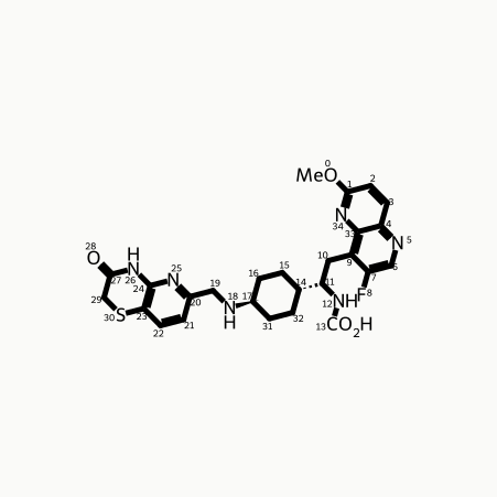 COc1ccc2ncc(F)c(CC(NC(=O)O)[C@H]3CC[C@H](NCc4ccc5c(n4)NC(=O)CS5)CC3)c2n1